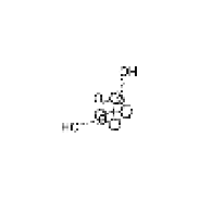 O=C1c2ccccc2C(c2ccccc2OCCCCO)(c2ccccc2OCCCCO)c2ccccc21